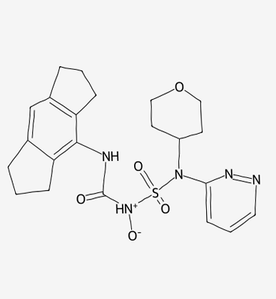 O=C(Nc1c2c(cc3c1CCC3)CCC2)[NH+]([O-])S(=O)(=O)N(c1cccnn1)C1CCOCC1